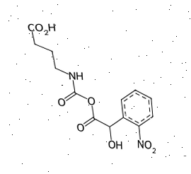 O=C(O)CCCNC(=O)OC(=O)C(O)c1ccccc1[N+](=O)[O-]